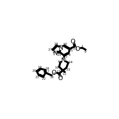 CCOC(=O)c1cc(N2CCC(C)(C(=O)OCc3ccccc3)CC2)c2nccn2c1